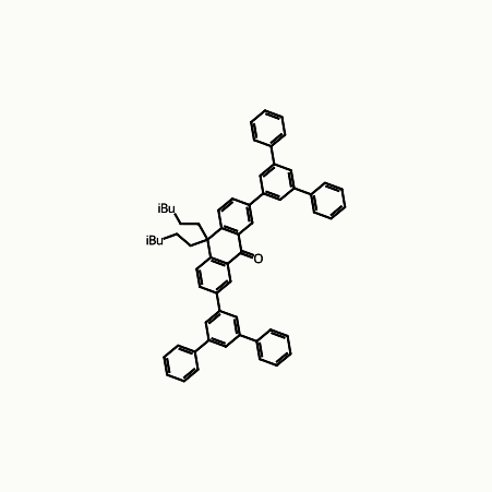 CCC(C)CCC1(CCC(C)CC)c2ccc(-c3cc(-c4ccccc4)cc(-c4ccccc4)c3)cc2C(=O)c2cc(-c3cc(-c4ccccc4)cc(-c4ccccc4)c3)ccc21